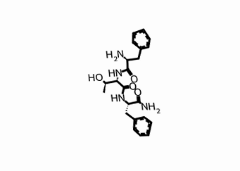 C[C@@H](O)[C@H](NC(=O)[C@@H](N)Cc1ccccc1)C(=O)N[C@@H](Cc1ccccc1)C(N)=O